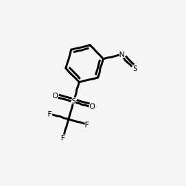 O=S(=O)(c1cccc(N=S)c1)C(F)(F)F